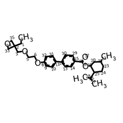 CCC1(COCCOc2ccc(-c3ccc(C(=O)OC4CC(C)CCC4C(C)C)cc3)cc2)COC1